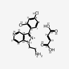 NCCn1nc(-c2ccc(Cl)cc2Cl)c2cnccc21.O=C(O)C=CC(=O)O